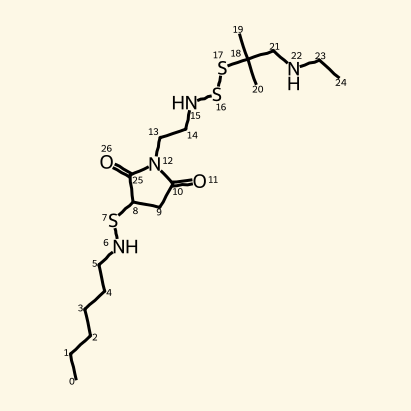 CCCCCCNSC1CC(=O)N(CCNSSC(C)(C)CNCC)C1=O